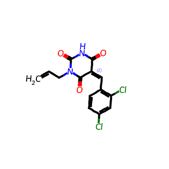 C=CCN1C(=O)NC(=O)/C(=C/c2ccc(Cl)cc2Cl)C1=O